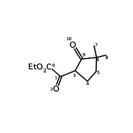 CCOC(=O)C(=O)C1CCC(C)(C)C1=O